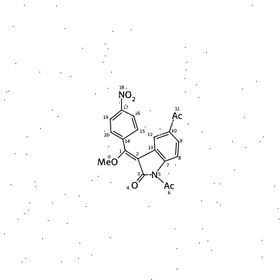 COC(=C1C(=O)N(C(C)=O)c2ccc(C(C)=O)cc21)c1ccc([N+](=O)[O-])cc1